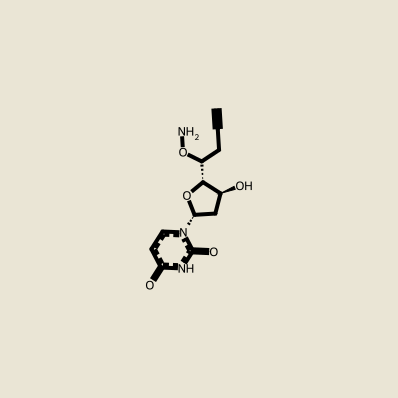 C#CCC(ON)[C@H]1O[C@@H](n2ccc(=O)[nH]c2=O)C[C@@H]1O